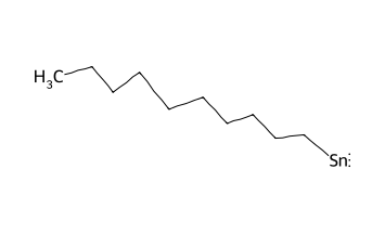 CCCCCCCCC[CH2][Sn]